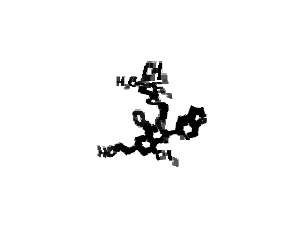 Cc1cc(CCO)cc2c(=O)n(COCC[Si](C)(C)C)c(-c3cc4ccsc4cn3)nc12